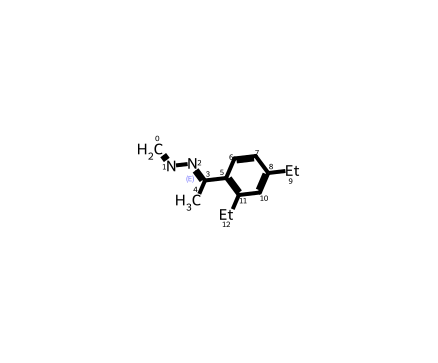 C=N/N=C(\C)c1ccc(CC)cc1CC